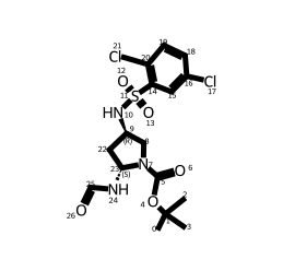 CC(C)(C)OC(=O)N1C[C@H](NS(=O)(=O)c2cc(Cl)ccc2Cl)C[C@H]1NC=O